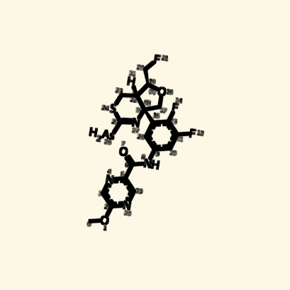 COc1cnc(C(=O)Nc2cc(F)c(F)c([C@]34CO[C@H](CF)[C@H]3CSC([AsH2])=N4)c2)cn1